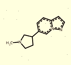 CN1CCC(c2ccc3ccnn3c2)C1